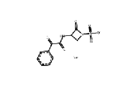 O=C(NC1CN(S(=O)(=O)[O-])C1=O)C(=O)c1ccccc1.[Na+]